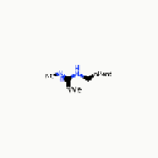 CCCCCCN/C(=N/C#N)NC